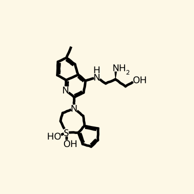 Cc1ccc2nc(N3CCS(O)(O)c4ccccc4C3)cc(NC[C@@H](N)CO)c2c1